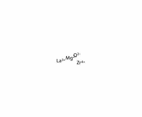 [La+3].[Mg+2].[O-2].[Zr+4]